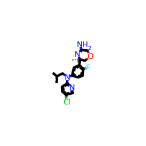 CC(C)CN(c1ccc(F)c([C@]2(C)COCC(N)=N2)c1)c1ccc(Cl)cn1